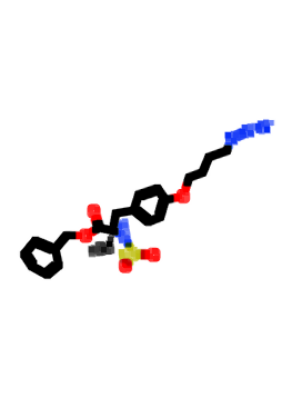 CCCC[C@](Cc1ccc(OCCCCN=[N+]=[N-])cc1)(N[SH](=O)=O)C(=O)OCc1ccccc1